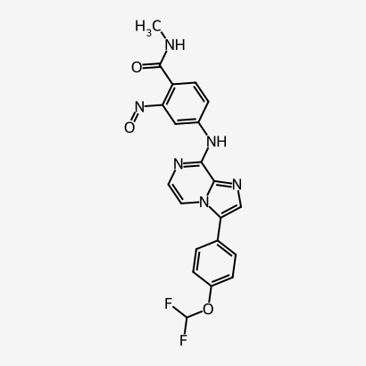 CNC(=O)c1ccc(Nc2nccn3c(-c4ccc(OC(F)F)cc4)cnc23)cc1N=O